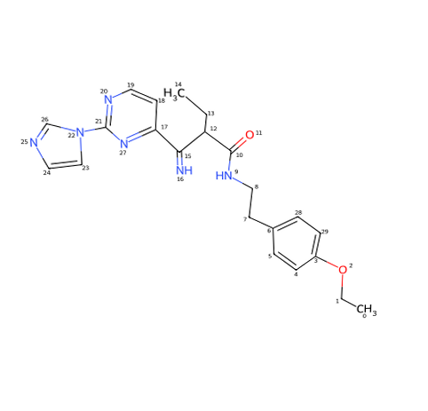 CCOc1ccc(CCNC(=O)C(CC)C(=N)c2ccnc(-n3ccnc3)n2)cc1